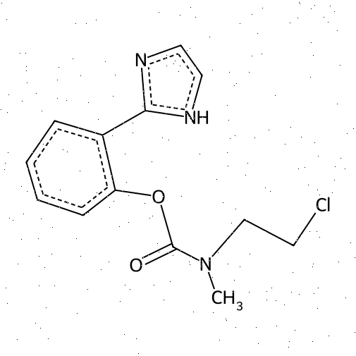 CN(CCCl)C(=O)Oc1ccccc1-c1ncc[nH]1